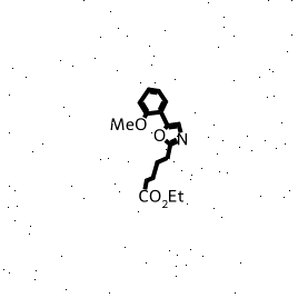 CCOC(=O)CCCCc1ncc(-c2ccccc2OC)o1